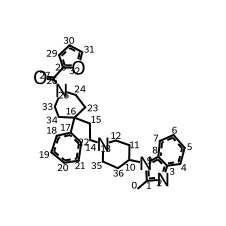 Cc1nc2ccccc2n1C1CCN(CCC2(c3ccccc3)CCN(C(=O)c3ccco3)CC2)CC1